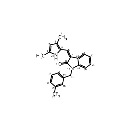 Cc1cc(C)c(/C=C2\C(=O)N(Cc3cccc(C(F)(F)F)c3)c3ccccc32)[nH]1